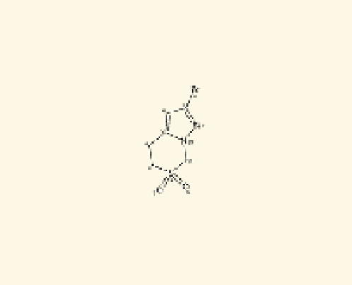 O=S1(=O)CCc2cc(Br)nn2C1